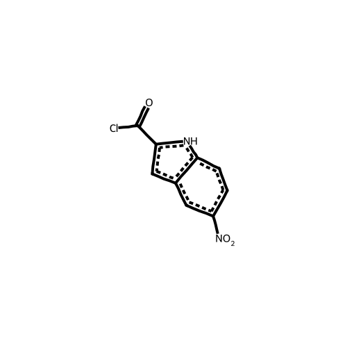 O=C(Cl)c1cc2cc([N+](=O)[O-])ccc2[nH]1